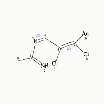 CC(=N)/N=C\C(Cl)=C(\Cl)C(C)=O